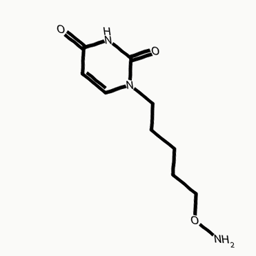 NOCCCCCn1ccc(=O)[nH]c1=O